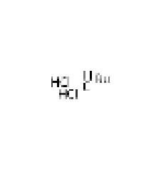 Cl.Cl.Cl.[Ru]